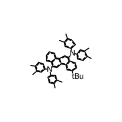 Cc1ccc(N(c2ccc(C)c(C)c2)c2cc3c4cc(C(C)(C)C)ccc4c(N(c4ccc(C)c(C)c4)c4ccc(C)c(C)c4)cc3c3ccccc23)cc1C